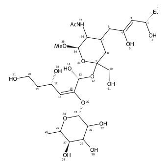 CC[C@H](O)/C=C(\O)CC1CC(CO)(O[C@@H](O)/C(=C\[C@@H](O)CCO)O[C@H]2OC(C)[C@H](O)C(O)C2O)O[C@@H](OC)C1NC(C)=O